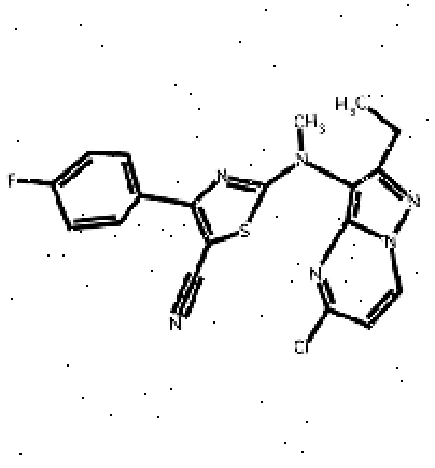 CCc1nn2ccc(Cl)nc2c1N(C)c1nc(-c2ccc(F)cc2)c(C#N)s1